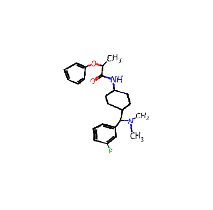 CC(Oc1ccccc1)C(=O)NC1CCC(C(c2cccc(F)c2)N(C)C)CC1